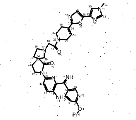 CC(C)Oc1ccc(C(=N)c2nc(N3CC[C@]4(CCN(CC(=O)N5CC=C(c6ncc(-c7cn(C)cn7)s6)CC5)C4)C3=O)ccc2N)cn1